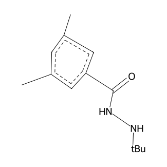 Cc1cc(C)cc(C(=O)NNC(C)(C)C)c1